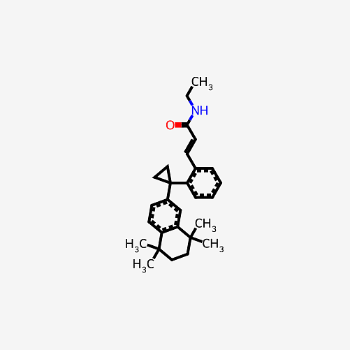 CCNC(=O)C=Cc1ccccc1C1(c2ccc3c(c2)C(C)(C)CCC3(C)C)CC1